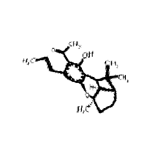 CCCc1cc2c(c(O)c1C(C)=O)C1[C@H]3C(CC[C@@]3(C)O2)C1(C)C